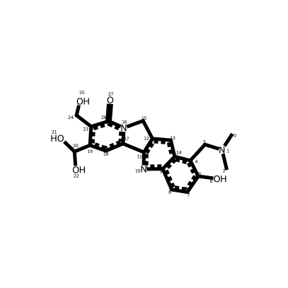 CN(C)Cc1c(O)ccc2nc3c(cc12)Cn1c-3cc(C(O)O)c(CO)c1=O